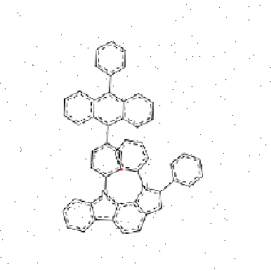 c1ccc(-c2c3ccccc3c(-c3ccc(-n4c5ccccc5c5ccc6cc(-c7ccccc7)n(-c7ccccc7)c6c54)cc3)c3ccccc23)cc1